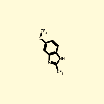 FC(F)(F)Sc1ccc2[nH]c(C(F)(F)F)nc2c1